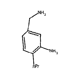 CCCc1ccc(CN)cc1N